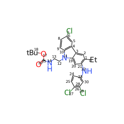 CCc1cc2c3cc(Cl)ccc3n(CCNC(=O)OC(C)(C)C)c2cc1Nc1ccc(Cl)c(Cl)c1